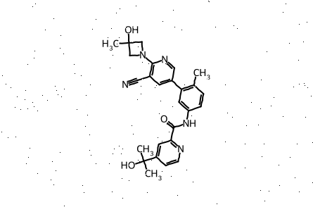 Cc1ccc(NC(=O)c2cc(C(C)(C)O)ccn2)cc1-c1cnc(N2CC(C)(O)C2)c(C#N)c1